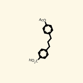 CC(=O)Oc1ccc(CCCc2ccc(C(=O)O)cc2)cc1